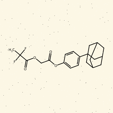 CC(F)(F)C(=O)OCC(=O)Oc1ccc(C23CC4CC(CC(C4)C2)C3)cc1